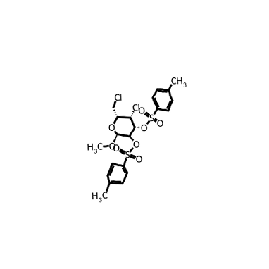 CO[C@H]1O[C@H](CCl)[C@H](Cl)[C@H](OS(=O)(=O)c2ccc(C)cc2)[C@H]1OS(=O)(=O)c1ccc(C)cc1